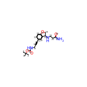 CC(C)(C)OC(=O)NCC#Cc1ccc2c(c1)C(NCCC(N)=O)CO2